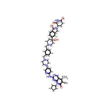 CC(=O)c1c(C)c2cnc(Nc3ccc(N4CCN(Cc5cccc(CN6CCC(O)(c7ccc8c(c7)CN(C7CCC(=O)NC7=O)C8=O)CC6)c5)CC4)cn3)nc2n(C2CCCC2)c1=O